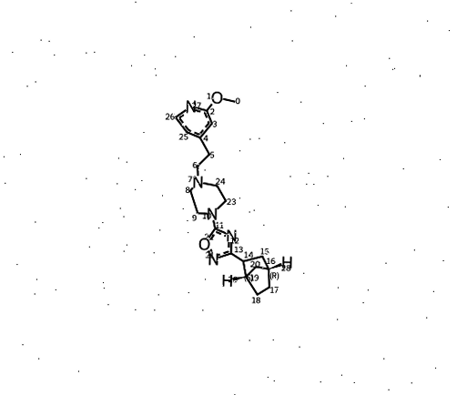 COc1cc(CCN2CCN(c3nc(C4C[C@@H]5CC[C@H]4C5)no3)CC2)ccn1